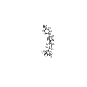 CNC(=O)C1CCN(c2nc(-c3ccc(Br)cc3)cs2)CC1